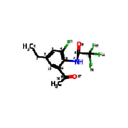 CCc1cc(F)c(NC(=O)C(F)(F)F)c(C(C)=O)c1